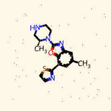 Cc1cc(-c2nccs2)c2oc(N3CCNC[C@@H]3C)nc2c1